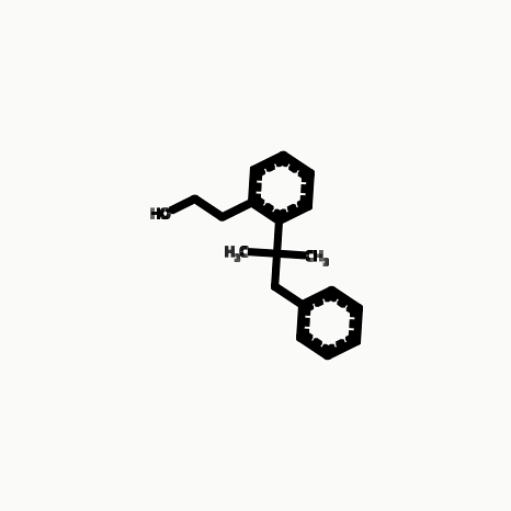 CC(C)(Cc1ccccc1)c1ccccc1CCO